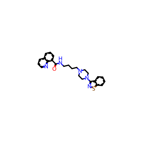 O=C(NCCCCN1CCN(c2nsc3ccccc23)CC1)c1cccc2cccnc12